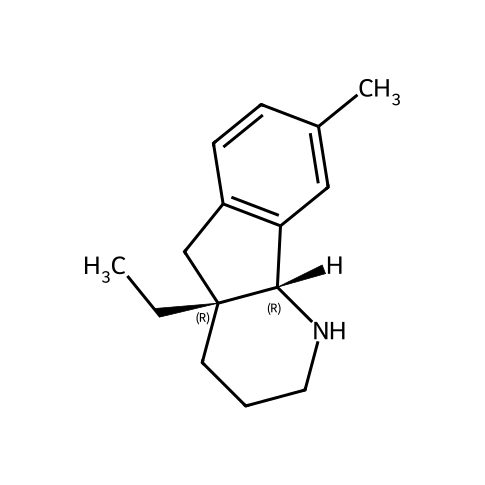 CC[C@]12CCCN[C@H]1c1cc(C)ccc1C2